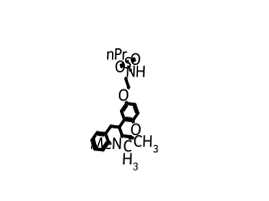 CCCS(=O)(=O)NCCOc1ccc2c(c1)C(Cc1ccccc1)C(NC)C(C)(C)O2